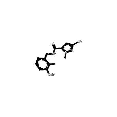 COc1cccc(CNC(=O)c2cc(C(C)C)nn2C)c1C